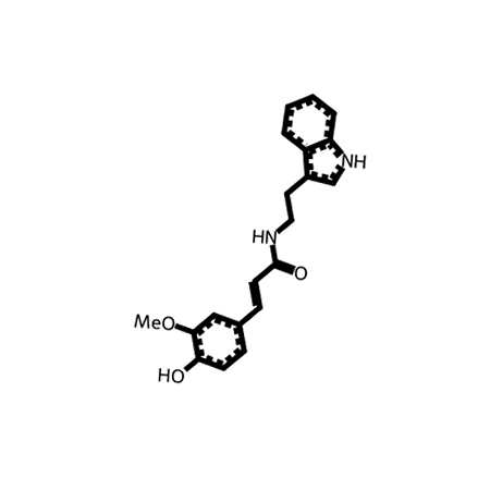 COc1cc(C=CC(=O)NCCc2c[nH]c3ccccc23)ccc1O